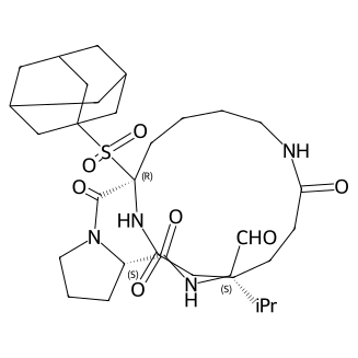 CC(C)[C@@H](C=O)NC(=O)[C@@H]1CCCN1C(=O)[C@]1(S(=O)(=O)C23CC4CC(CC(C4)C2)C3)CCCCNC(=O)CCCCC(=O)N1